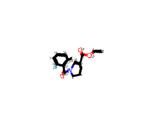 CCOC(=O)C1CCCN(C(=O)c2c(C)cccc2F)C1